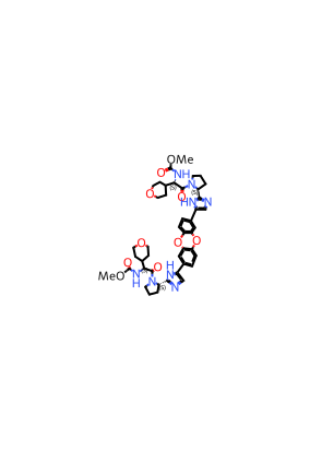 COC(=O)N[C@H](C(=O)N1CCC[C@H]1c1ncc(-c2ccc3c(c2)Oc2ccc(-c4cnc([C@@H]5CCCN5C(=O)[C@@H](NC(=O)OC)C5CCOCC5)[nH]4)cc2O3)[nH]1)C1CCOCC1